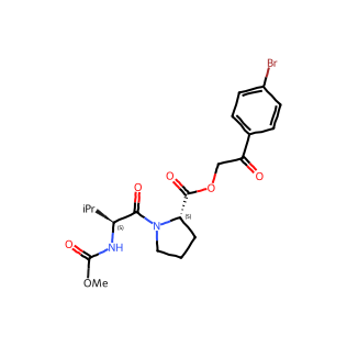 COC(=O)N[C@H](C(=O)N1CCC[C@H]1C(=O)OCC(=O)c1ccc(Br)cc1)C(C)C